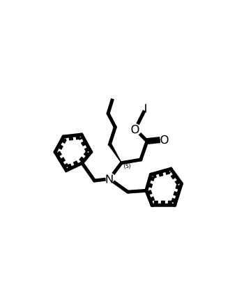 CCCC[C@@H](CC(=O)OI)N(Cc1ccccc1)Cc1ccccc1